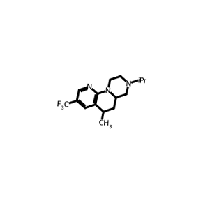 CC1CC2CN(C(C)C)CCN2c2ncc(C(F)(F)F)cc21